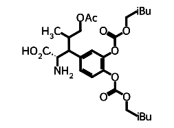 CCC(C)COC(=O)Oc1ccc(C(C(C)COC(C)=O)[C@H](N)C(=O)O)cc1OC(=O)OCC(C)CC